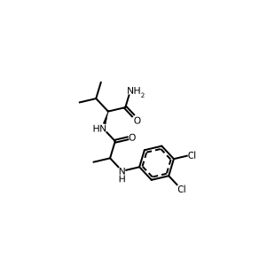 CC(Nc1ccc(Cl)c(Cl)c1)C(=O)N[C@H](C(N)=O)C(C)C